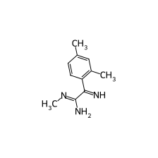 CN=C(N)C(=N)c1ccc(C)cc1C